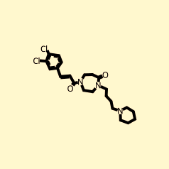 O=C(/C=C/c1ccc(Cl)c(Cl)c1)N1CCC(=O)N(CCCCN2CCCCC2)CC1